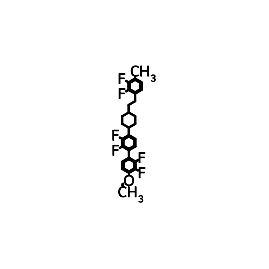 CCOc1ccc(-c2ccc(C3CCC(CCc4ccc(C)c(F)c4F)CC3)c(F)c2F)c(F)c1F